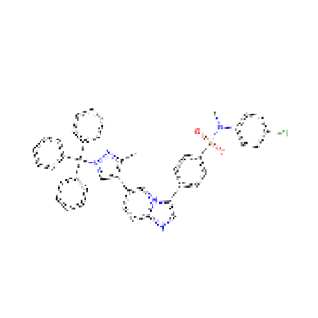 Cc1nn(C(c2ccccc2)(c2ccccc2)c2ccccc2)cc1-c1ccc2ncc(-c3ccc(S(=O)(=O)N(C)c4ccc(Cl)cc4)cc3)n2c1